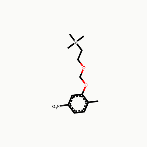 [CH2]c1ccc([N+](=O)[O-])cc1OCOCC[Si](C)(C)C